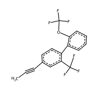 CC#Cc1ccc(-c2ccccc2OC(F)(F)F)c(C(F)(F)F)c1